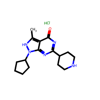 Cc1[nH]n(C2CCCC2)c2nc(C3CCNCC3)nc(=O)c1-2.Cl